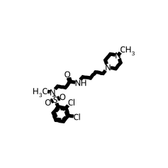 CN1CCN(CCCCNC(=O)CCN(C)S(=O)(=O)c2cccc(Cl)c2Cl)CC1